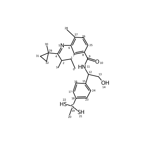 CCC(C)/C(=N\c1cc(C(=O)NC(CO)c2ccc(S(C)(S)S)cc2)ccc1C)C1(C)CC1